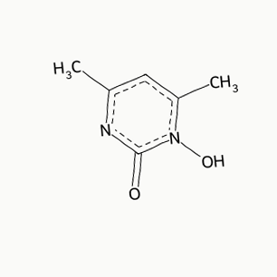 Cc1cc(C)n(O)c(=O)n1